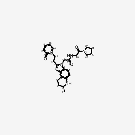 C[C@H]1CCc2c(ccc3c2nc(CCn2ccccc2=O)n3CC(=O)NCC(=O)N2CCCC2)N1